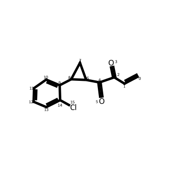 C=CC(=O)C(=O)C1CC1c1ccccc1Cl